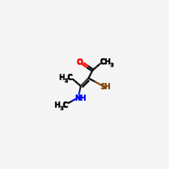 CN/C(C)=C(\S)C(C)=O